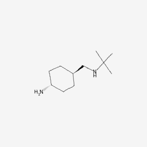 CC(C)(C)NC[C@H]1CC[C@H](N)CC1